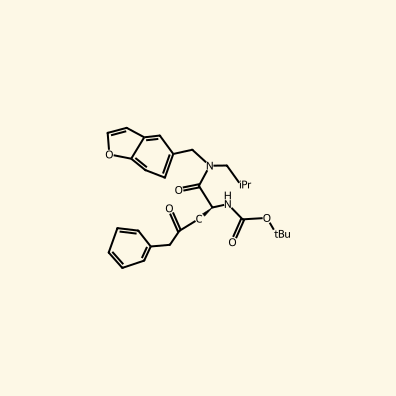 CC(C)CN(Cc1ccc2occc2c1)C(=O)[C@H](CC(=O)Cc1ccccc1)NC(=O)OC(C)(C)C